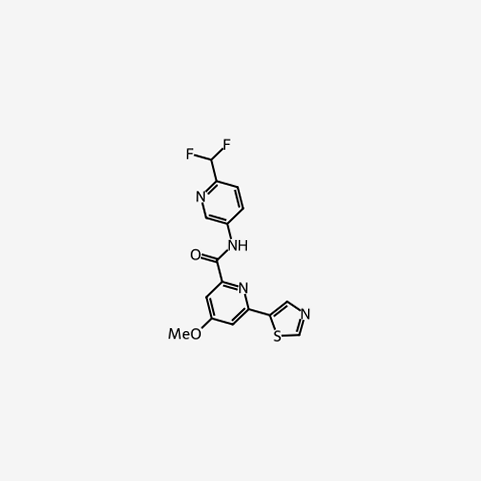 COc1cc(C(=O)Nc2ccc(C(F)F)nc2)nc(-c2cncs2)c1